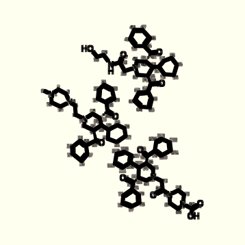 CN1CCN(CCN2C[C@H](C(=O)c3ccccc3)C(C3CCCCC3)[C@@H](C(=O)c3ccccc3)C2)CC1.O=C(CN1C[C@H](C(=O)c2ccccc2)C(C2CCCCC2)[C@@H](C(=O)c2ccccc2)C1)NCCO.O=C(c1ccccc1)[C@H]1CN(CC(=O)N2CCN(C(=O)O)CC2)C[C@H](C(=O)c2ccccc2)C1c1ccccc1